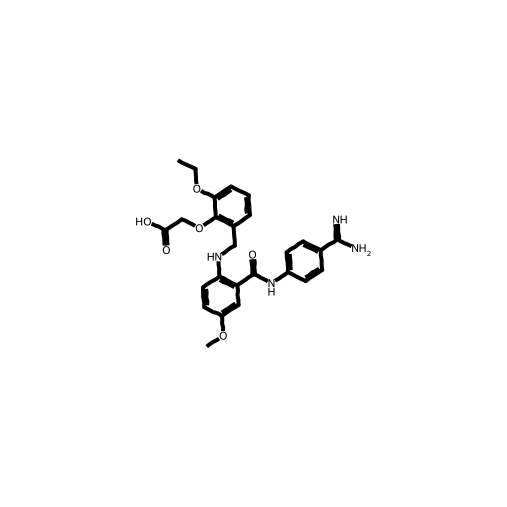 CCOc1cccc(CNc2ccc(OC)cc2C(=O)Nc2ccc(C(=N)N)cc2)c1OCC(=O)O